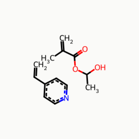 C=C(C)C(=O)OC(C)O.C=Cc1ccncc1